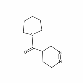 O=C(C1CCN=NC1)N1CCCCC1